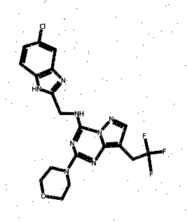 FC(F)(F)Cc1cnn2c(NCc3nc4cc(Cl)ccc4[nH]3)nc(N3CCOCC3)nc12